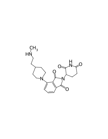 CNCCC1CCN(c2cccc3c2C(=O)N(C2CCC(=O)NC2=O)C3=O)CC1